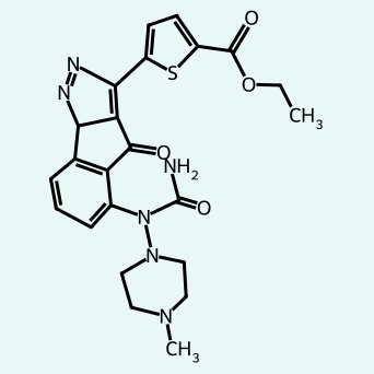 CCOC(=O)c1ccc(C2=C3C(=O)c4c(cccc4N(C(N)=O)N4CCN(C)CC4)C3N=N2)s1